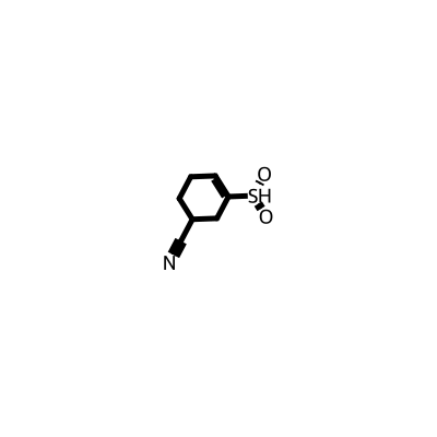 N#CC1CCC=C([SH](=O)=O)C1